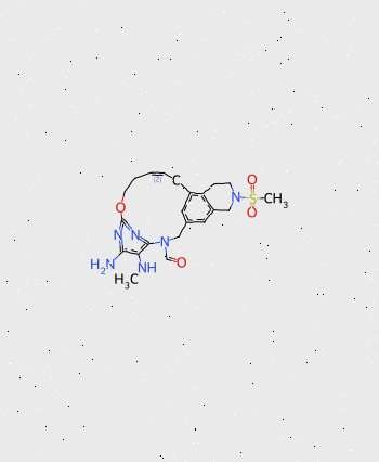 CNc1c(N)nc2nc1N(C=O)Cc1cc(c3c(c1)CN(S(C)(=O)=O)CC3)C/C=C\CCO2